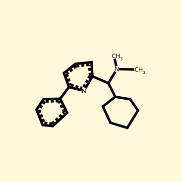 CN(C)C(c1cccc(-c2ccccc2)n1)C1CCCCC1